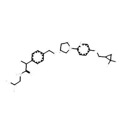 CC(C(=O)NC[C@H](C)O)c1ccc(CC[C@@H]2CCN(c3ccc(OCC4CC4(F)F)cn3)C2)cc1